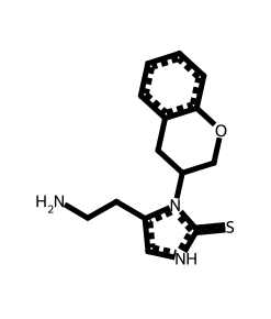 NCCc1c[nH]c(=S)n1C1COc2ccccc2C1